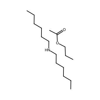 CCCCCCNCCCCCC.CCCOC(C)=O